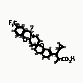 C[C@H](C(=O)O)C(c1ccc2c(c1)OC1(CC2)CCN([C@@H](C)c2cc(C(F)(F)F)ccc2C(F)(F)F)CC1)C1CC1